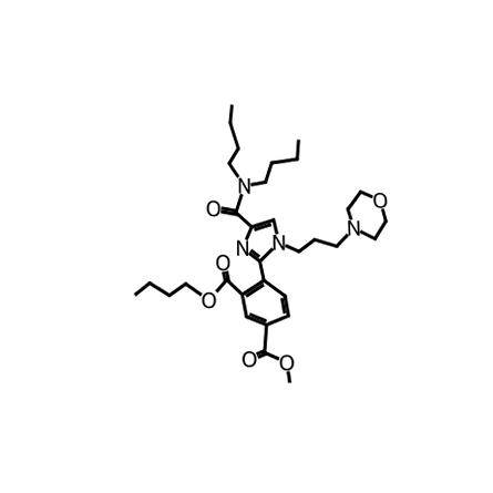 CCCCOC(=O)c1cc(C(=O)OC)ccc1-c1nc(C(=O)N(CCCC)CCCC)cn1CCCN1CCOCC1